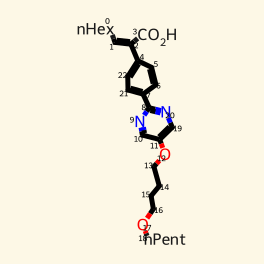 CCCCCCC=C(C(=O)O)c1ccc(-c2ncc(OCCCCOCCCCC)cn2)cc1